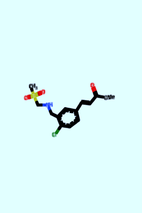 COC(=O)/C=C/c1ccc(Cl)c(CNCS(C)(=O)=O)c1